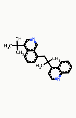 CC(C)(C)c1cncc2c(CC(C)(C)c3ccnc4ccccc34)cccc12